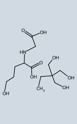 CCC(CO)(CO)CO.O=C(O)CNC(CCCO)C(=O)O